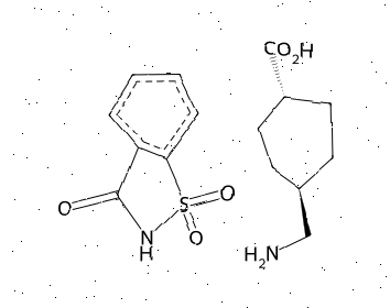 NC[C@H]1CC[C@H](C(=O)O)CC1.O=C1NS(=O)(=O)c2ccccc21